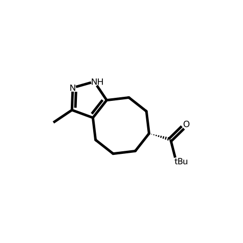 Cc1n[nH]c2c1CCC[C@@H](C(=O)C(C)(C)C)CC2